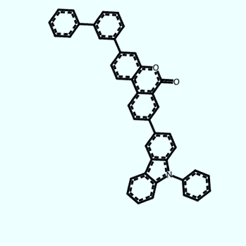 O=c1oc2cc(-c3cccc(-c4ccccc4)c3)ccc2c2ccc(-c3ccc4c(c3)c3ccccc3n4-c3ccccc3)cc12